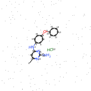 Cc1cc(Nc2ccc(Oc3ccccc3)cc2)nc(N)n1.Cl